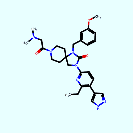 CCc1nc(N2CC3(CCN(C(=O)CN(C)C)CC3)N(Cc3cccc(OC)c3)C2=O)ccc1-c1cn[nH]c1